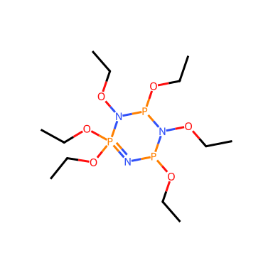 CCON1P(OCC)N=P(OCC)(OCC)N(OCC)P1OCC